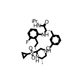 CC(C)NC(=O)[C@H](Cc1cccc(Cl)c1)Nc1cccc(F)c1CC[C@]1(S(=O)(=O)C2CC2)CNC[C@H](C)N1